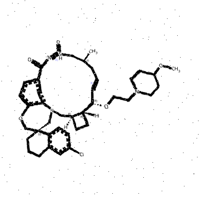 COC1CCN(CCO[C@H]2/C=C/C[C@H](C)C/[SH](=O)=N\C(=O)c3ccc4c(c3)N(C[C@@H]3CC[C@H]32)C[C@@]2(CCCc3cc(Cl)ccc32)CO4)CC1